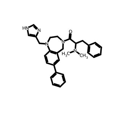 CN(C)C(Cc1ccccc1)C(=O)N1CCN(Cc2c[nH]cn2)c2ccc(-c3ccccc3)cc2C1